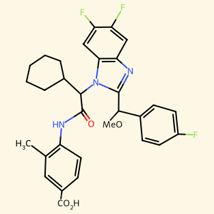 COC(c1ccc(F)cc1)c1nc2cc(F)c(F)cc2n1C(C(=O)Nc1ccc(C(=O)O)cc1C)C1CCCCC1